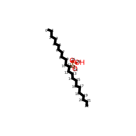 [CH2]CCCCCCCCCCC(CCCCCCCCCCC)S(=O)(=O)O